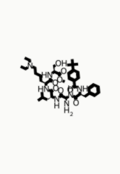 CCN(CC)CCCC[C@H](NC(=O)[C@@H](CC(C)C)NC(=O)[C@H](N)NC(=O)[C@H](Cc1ccccc1)NC(=O)c1ccc(C(C)(C)C)cc1)C(=O)N[C@@H](CO)C(=O)OC